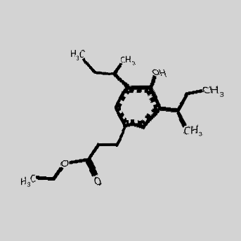 CCOC(=O)CCc1cc(C(C)CC)c(O)c(C(C)CC)c1